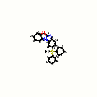 CCS(c1ccccc1)(c1ccccc1)c1ccc2nc3oc4ccccc4n3c2c1